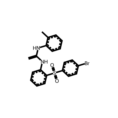 C=C(Nc1ccccc1C)Nc1ccccc1S(=O)(=O)c1ccc(Br)cc1